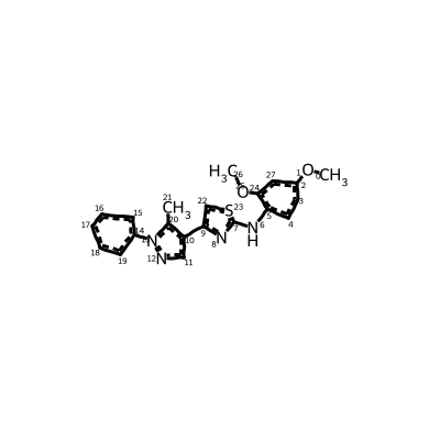 COc1ccc(Nc2nc(-c3cnn(-c4ccccc4)c3C)cs2)c(OC)c1